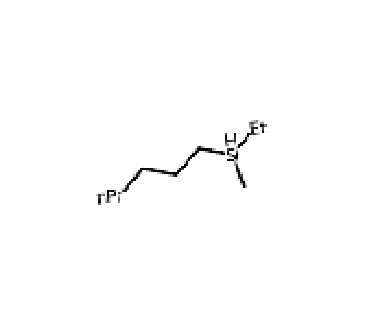 CCCCCC[SiH](C)CC